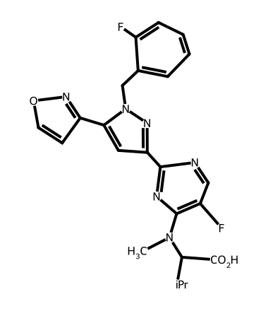 CC(C)C(C(=O)O)N(C)c1nc(-c2cc(-c3ccon3)n(Cc3ccccc3F)n2)ncc1F